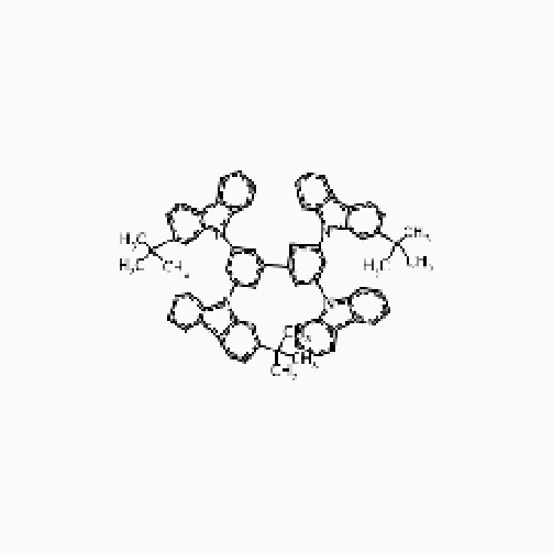 CC(C)(C)c1ccc2c3ccccc3n(-c3cc(-c4cc(-n5c6ccccc6c6ccc(C(C)(C)C)cc65)cc(-n5c6ccccc6c6ccc(C(C)(C)C)cc65)c4)cc(-n4c5ccccc5c5ccccc54)c3)c2c1